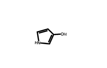 Oc1cc[nH]c1